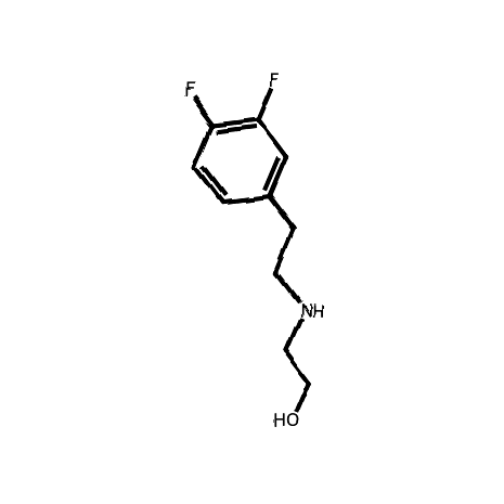 OCCNCCc1ccc(F)c(F)c1